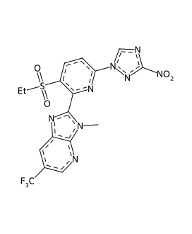 CCS(=O)(=O)c1ccc(-n2cnc([N+](=O)[O-])n2)nc1-c1nc2cc(C(F)(F)F)cnc2n1C